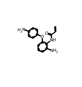 C=CC(=O)Nc1c(N)cccc1Oc1ccc(N)cc1